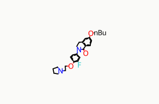 CCCCOc1ccc2c(c1)CCN(c1ccc(OCCN3CCCC3)c(F)c1)C2=O